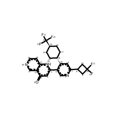 O=c1cc(-c2cnc(C3CC(F)(F)C3)cc2[C@H]2CC[C@H](C(F)(F)F)CC2)[nH]c2ccncc12